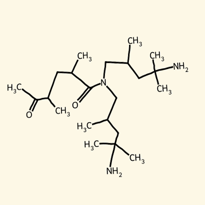 CC(=O)C(C)CC(C)C(=O)N(CC(C)CC(C)(C)N)CC(C)CC(C)(C)N